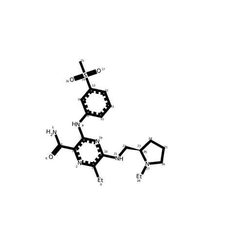 CCc1nc(C(N)=O)c(Nc2cccc(S(C)(=O)=O)c2)nc1NC[C@H]1CCCN1CC